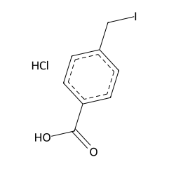 Cl.O=C(O)c1ccc(CI)cc1